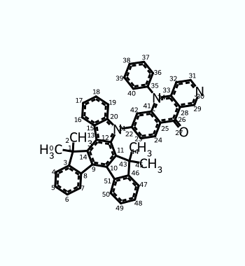 CC1(C)c2ccccc2-c2c3c(c4c(c21)c1ccccc1n4-c1ccc2c(=O)c4cnccc4n(-c4ccccc4)c2c1)C(C)(C)c1ccccc1-3